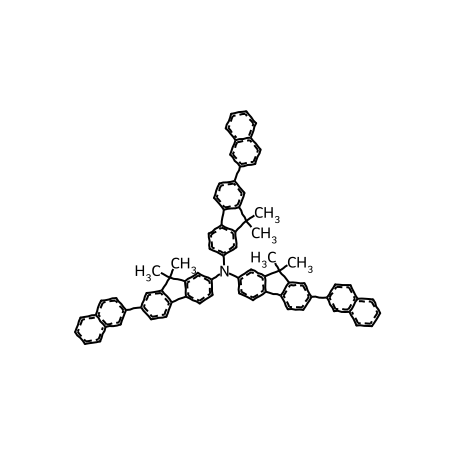 CC1(C)c2cc(-c3ccc4ccccc4c3)ccc2-c2ccc(N(c3ccc4c(c3)C(C)(C)c3cc(-c5ccc6ccccc6c5)ccc3-4)c3ccc4c(c3)C(C)(C)c3cc(-c5ccc6ccccc6c5)ccc3-4)cc21